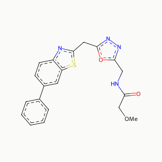 COCC(=O)NCc1nnc(Cc2nc3ccc(-c4ccccc4)cc3s2)o1